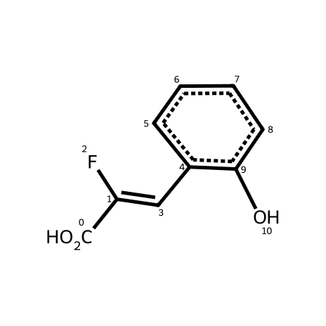 O=C(O)C(F)=Cc1ccccc1O